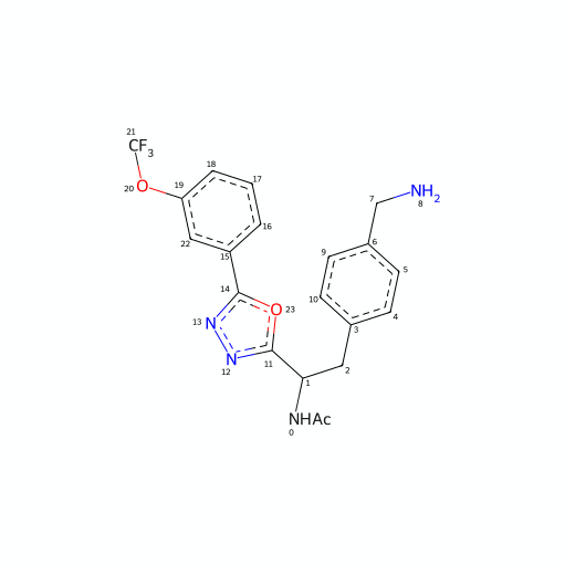 CC(=O)NC(Cc1ccc(CN)cc1)c1nnc(-c2cccc(OC(F)(F)F)c2)o1